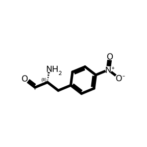 N[C@@H]([C]=O)Cc1ccc([N+](=O)[O-])cc1